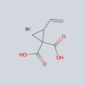 C=CC1CC1(C(=O)O)C(=O)O.[In]